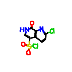 O=c1[nH]cc(S(=O)(=O)Cl)c2ccc(Cl)nc12